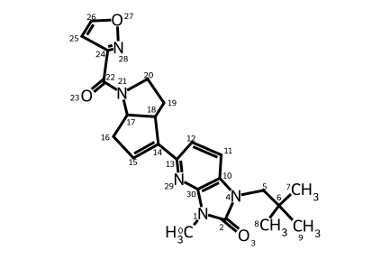 Cn1c(=O)n(CC(C)(C)C)c2ccc(C3=CCC4C3CCN4C(=O)c3ccon3)nc21